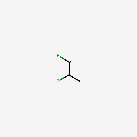 CC(F)[C]F